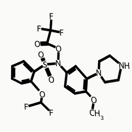 COc1ccc(N(OC(=O)C(F)(F)F)S(=O)(=O)c2ccccc2OC(F)F)cc1N1CCNCC1